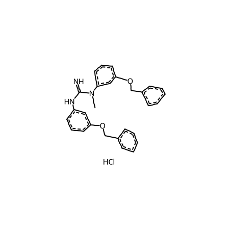 CN(C(=N)Nc1cccc(OCc2ccccc2)c1)c1cccc(OCc2ccccc2)c1.Cl